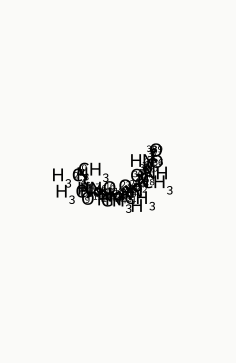 CN(C)CCCN(C)C(=O)c1cc(N(C)C(=O)c2cc(N(C)C(=O)c3cc(N(C)C(=O)c4cc(NC(=O)C5CO5)c[nH]4)c[nH]3)c[nH]2)c[nH]1